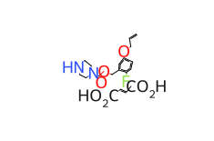 C=CCOc1ccc(F)c(COC(=O)N2CCNCC2)c1.O=C(O)C=CC(=O)O